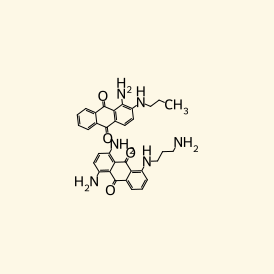 CCCNc1ccc2c(c1N)C(=O)c1ccccc1C2=O.NCCCNc1cccc2c1C(=O)c1c(N)ccc(N)c1C2=O